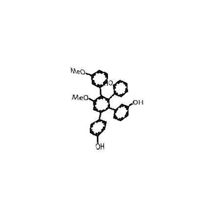 COc1cccc(-c2c(OC)[c]c(-c3ccc(O)cc3)c(-c3cccc(O)c3)c2-c2ccccc2O)c1